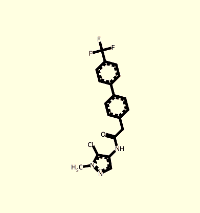 Cn1ncc(NC(=O)Cc2ccc(-c3ccc(C(F)(F)F)cc3)cc2)c1Cl